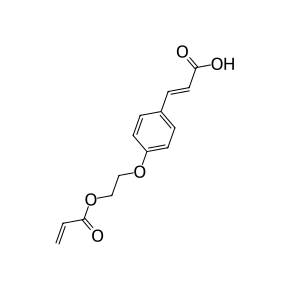 C=CC(=O)OCCOc1ccc(/C=C/C(=O)O)cc1